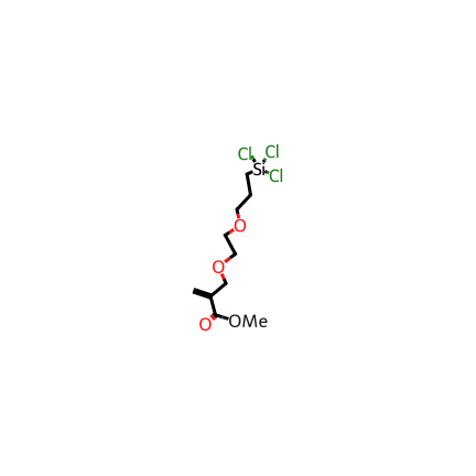 C=C(COCCOCCC[Si](Cl)(Cl)Cl)C(=O)OC